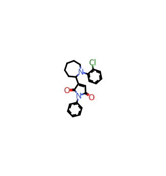 O=C1C=C(C2CCCCCN2c2ccccc2Cl)C(=O)N1c1ccccc1